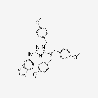 COc1ccc(CN(Cc2ccc(OC)cc2)c2nc(Nc3ccc4nccn4c3)nn2Cc2ccc(OC)cc2)cc1